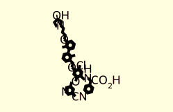 Cc1c(COc2cc(OCc3cncc(C#N)c3)c(CN[C@H](C(=O)O)c3ccccc3)cc2Cl)cccc1-c1cccc(OCCCN2CC[C@@H](O)C2)c1C